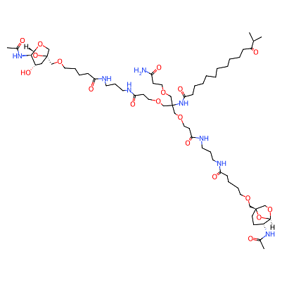 CC(=O)N[C@H]1[C@@H]2OC[C@@](COCCCCC(=O)NCCCNC(=O)CCOCC(COCCC(N)=O)(COCCC(=O)NCCCNC(=O)CCCCOC[C@@]34CC[C@@H](NC(C)=O)[C@H](OC3)O4)NC(=O)CCCCCCCCCCC(=O)C(C)C)(C[C@@H]1O)O2